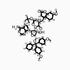 COc1ccc(C(OC[C@@H]2O[C@H](n3cnc4c(N)ncnc43)[C@H](OC(=O)C(Cc3cc(=O)oc4cc(OC)ccc34)NC(=O)OC(C)(C)C)[C@H]2O)(c2ccccc2)c2ccc(OC)cc2)cc1